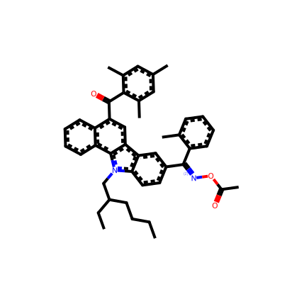 CCCCC(CC)Cn1c2ccc(/C(=N/OC(C)=O)c3ccccc3C)cc2c2cc(C(=O)c3c(C)cc(C)cc3C)c3ccccc3c21